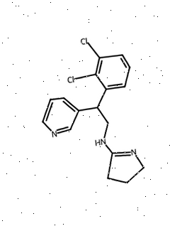 Clc1cccc(C(CNC2=NCCC2)c2cccnc2)c1Cl